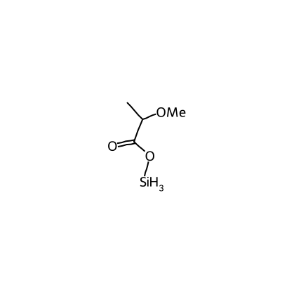 COC(C)C(=O)O[SiH3]